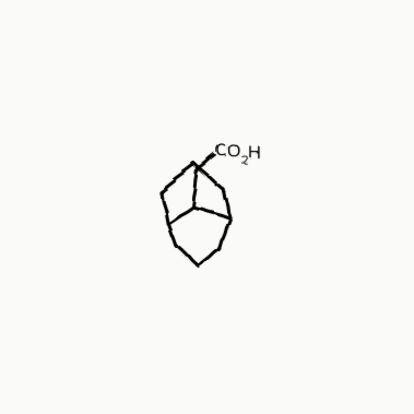 O=C(O)CC1C2CCCC1CCC2